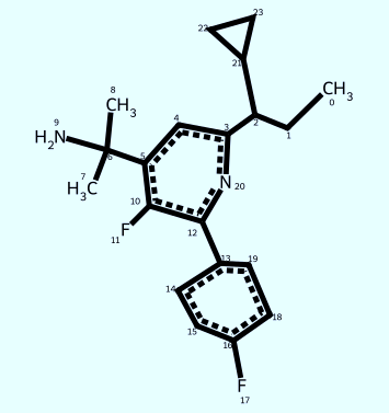 CCC(c1cc(C(C)(C)N)c(F)c(-c2ccc(F)cc2)n1)C1CC1